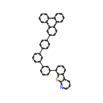 c1cc(-c2ccc(-c3ccc4c5ccccc5c5ccccc5c4c3)cc2)cc(-c2cccc(-c3cccc4c3sc3ncccc34)c2)c1